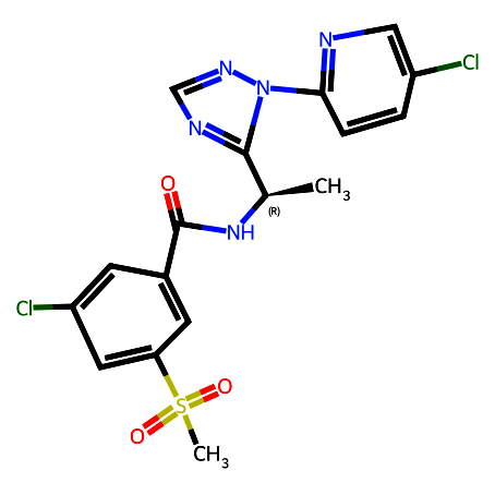 C[C@@H](NC(=O)c1cc(Cl)cc(S(C)(=O)=O)c1)c1ncnn1-c1ccc(Cl)cn1